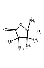 BC1(B)OC(=O)C(B)(B)C1(B)B